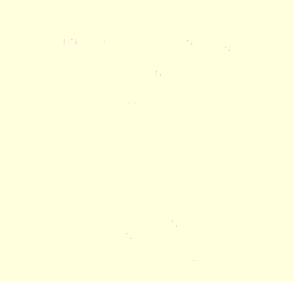 Cc1cncc(-c2ccc(-c3cc4cnc(C)nc4n(C4COC5(CNC5)C4)c3=O)c(Cl)c2)n1